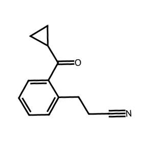 N#CCCc1ccccc1C(=O)C1CC1